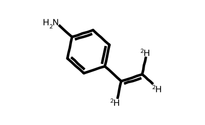 [2H]C([2H])=C([2H])c1ccc(N)cc1